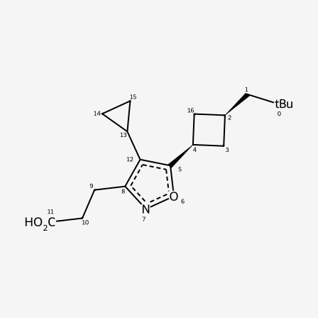 CC(C)(C)C[C@H]1C[C@@H](c2onc(CCC(=O)O)c2C2CC2)C1